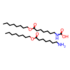 CCCCCCCCOC(=O)CCCCCCN.CCCCCCCCOC(=O)CCCCCCNC(=O)O